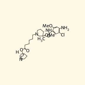 COc1cc(N)c(Cl)cc1C(=O)N[C@H]1CCN(CCCCCC(=O)O[C@@H]2CN3CCC2CC3)C[C@]1(C)OC